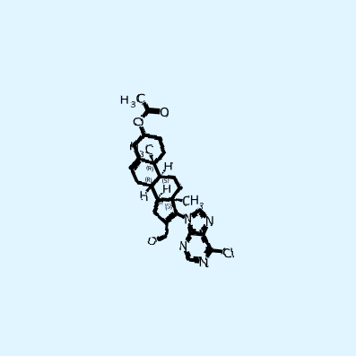 CC(=O)OC1CC[C@@]2(C)C(=CC[C@@H]3[C@@H]2CC[C@]2(C)C(n4cnc5c(Cl)ncnc54)=C(C=O)C[C@@H]32)C1